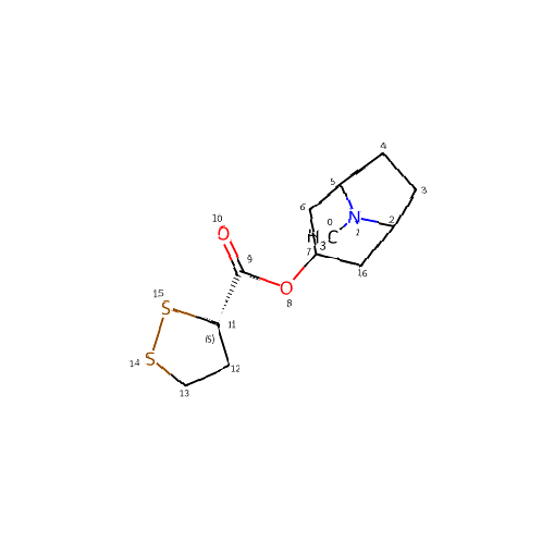 CN1C2CCC1CC(OC(=O)[C@@H]1CCSS1)C2